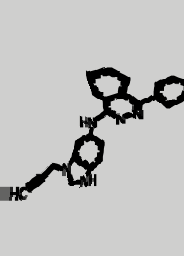 C#CCN1CNc2ccc(Nc3nnc(-c4ccccc4)c4ccccc34)cc21